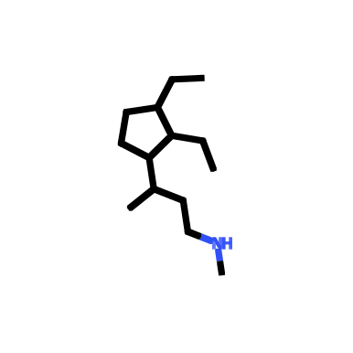 CCC1CCC(C(C)CCNC)C1CC